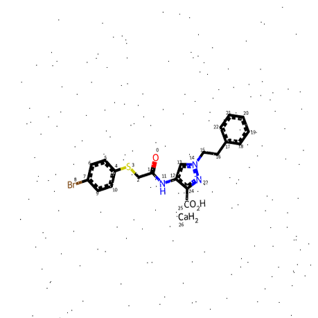 O=C(CSc1ccc(Br)cc1)Nc1cn(CCc2ccccc2)nc1C(=O)O.[CaH2]